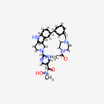 CC(=O)N1CCN(Cc2cccc(-c3ccc4[nH]c5c(c4c3)CN(c3ncc(C(=O)N(C)O)cn3)CC5)c2)CC1